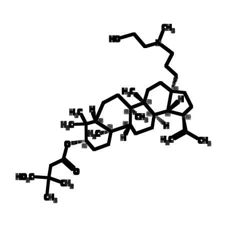 C=C(C)[C@@H]1CC[C@]2(CCCN(C)CCO)CC[C@]3(C)[C@H](CC[C@@H]4[C@@]5(C)CC[C@H](OC(=O)CC(C)(C)C(=O)O)C(C)(C)[C@@H]5CC[C@]43C)[C@@H]12